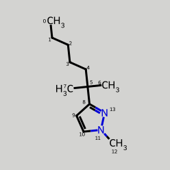 CCCCCC(C)(C)c1ccn(C)n1